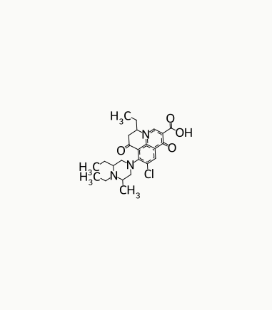 CCC1CN(c2c(Cl)cc3c(=O)c(C(=O)O)cn4c3c2C(=O)CC4CC)CC(C)N1CC